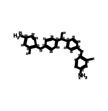 Cc1cc(N)ccc1Cc1ccc(C(C)c2ccc(Cc3ccc(N)cc3C)cc2)cc1